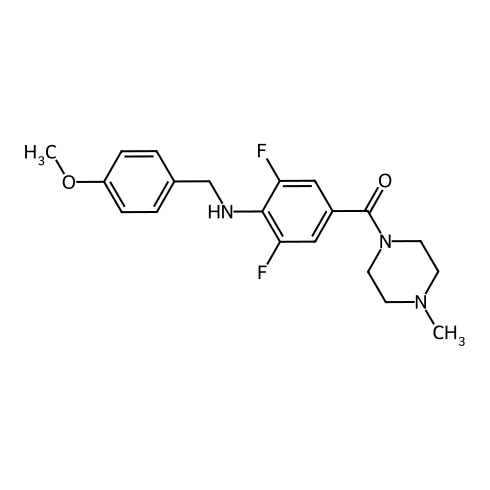 COc1ccc(CNc2c(F)cc(C(=O)N3CCN(C)CC3)cc2F)cc1